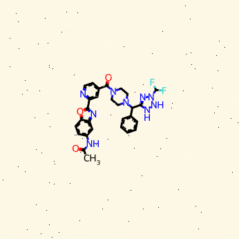 CC(=O)Nc1ccc2oc(-c3cc(C(=O)N4CCN(C(C5=NN(C(F)F)NN5)c5ccccc5)CC4)ccn3)nc2c1